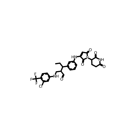 CCC(c1cccc(NC2=CC(=O)N(C3CCC(=O)NC3=O)C2=O)c1)C(C=O)CNc1ccc(C(F)(F)F)c(Cl)c1